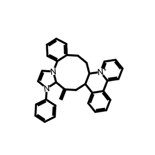 C=C1CC2c3ccccc3-c3cccc[n+]3C2CCc2ccccc2N2C=CN(c3ccccc3)C12